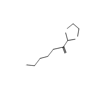 O=C(CCCCCl)C1OCCO1